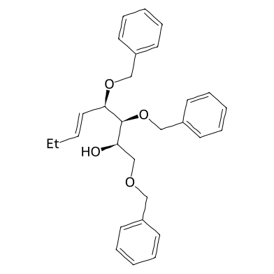 CCC=C[C@@H](OCc1ccccc1)[C@@H](OCc1ccccc1)[C@H](O)COCc1ccccc1